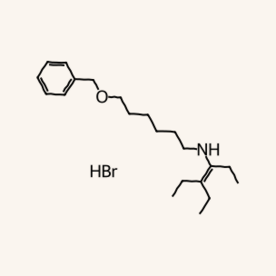 Br.CCC(CC)=C(CC)NCCCCCCOCc1ccccc1